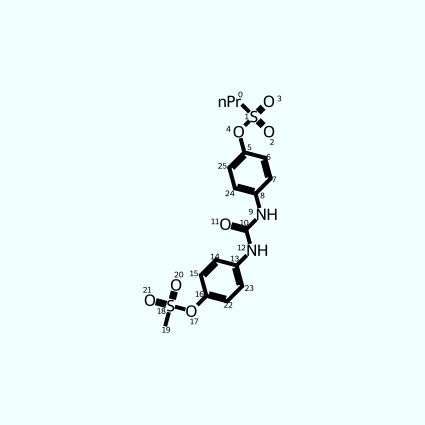 CCCS(=O)(=O)Oc1ccc(NC(=O)Nc2ccc(OS(C)(=O)=O)cc2)cc1